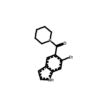 CCc1cc2[nH]ccc2cc1C(=O)N1CCCCC1